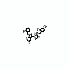 COc1ccc(CNc2nc(-c3nn(Cc4ccccc4F)c4ncc(F)cc34)ncc2C)c(OC)c1